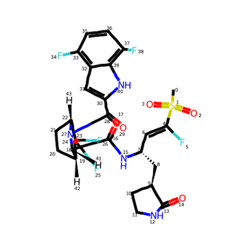 CS(=O)(=O)/C(F)=C/[C@H](C[C@@H]1CCNC1=O)NC(=O)[C@@H]1[C@@H]2CC[C@@H](CC2(F)F)N1C(=O)c1cc2c(F)ccc(F)c2[nH]1